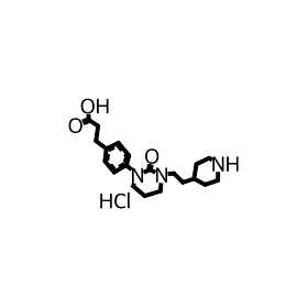 Cl.O=C(O)CCc1ccc(N2CCCN(CCC3CCNCC3)C2=O)cc1